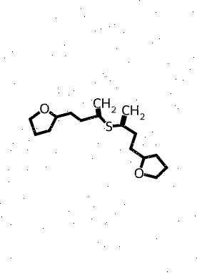 C=C(CCC1CCCO1)SC(=C)CCC1CCCO1